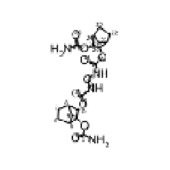 NC(=O)OC1C2CCC(C2)C1OC(=O)NONC(=O)OC1C2CCC(C2)C1OC(N)=O